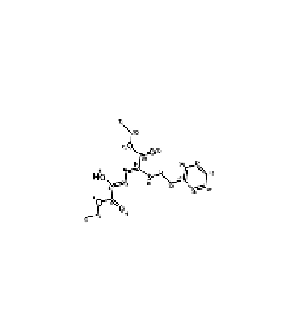 CCOC(=O)/C(O)=C/C=C(\SCCc1ccccc1)C(=O)OCC